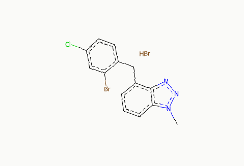 Br.Cn1nnc2c(Cc3ccc(Cl)cc3Br)cccc21